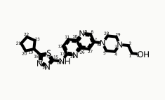 OCCN1CCN(c2cnc3ccc(Nc4nnc(C5CCCC5)s4)nc3c2)CC1